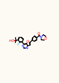 CC(C)(O)c1cccc(-c2ncnc3cc(-c4ccc(C(=O)N5CCOCC5)cc4)oc23)c1F